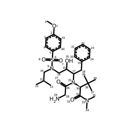 COc1ccc(S(=O)(=O)N(CC(C)C)CC(O)C(Cc2ccccc2)N(C(=O)CN)[C@H](C(=O)N(C)C)C(C)(C)C)cc1